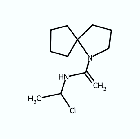 C=C(NC(C)Cl)N1CCCC12CCCC2